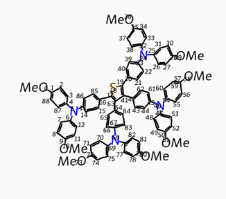 COc1ccc(N(c2ccc(OC)cc2)c2ccc(-c3sc(-c4ccc(N(c5ccc(OC)cc5)c5ccc(OC)cc5)cc4)c(-c4ccc(N(c5ccc(OC)cc5)c5ccc(OC)cc5)cc4)c3-c3ccc(N(c4ccc(OC)cc4)c4ccc(OC)cc4)cc3)cc2)cc1